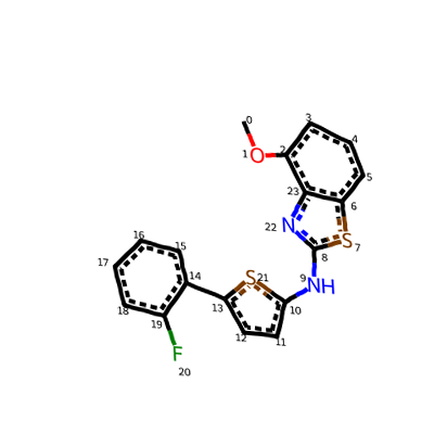 COc1cccc2sc(Nc3ccc(-c4ccccc4F)s3)nc12